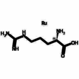 N=C(N)NCCC[C@H](N)C(=O)O.[Ru]